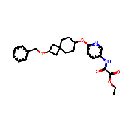 CCOC(=O)C(=O)Nc1ccc(OC2CCC3(CC2)CC(OCc2ccccc2)C3)nc1